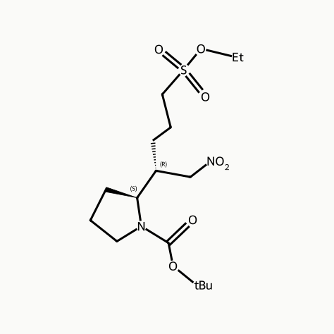 CCOS(=O)(=O)CCC[C@H](C[N+](=O)[O-])[C@@H]1CCCN1C(=O)OC(C)(C)C